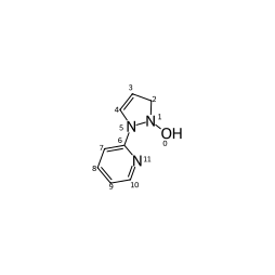 ON1CC=CN1c1ccccn1